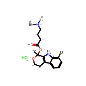 CCc1cccc2c3c([nH]c12)C(CC)(OC(=O)CCCN(CC)CC)OCC3.Cl